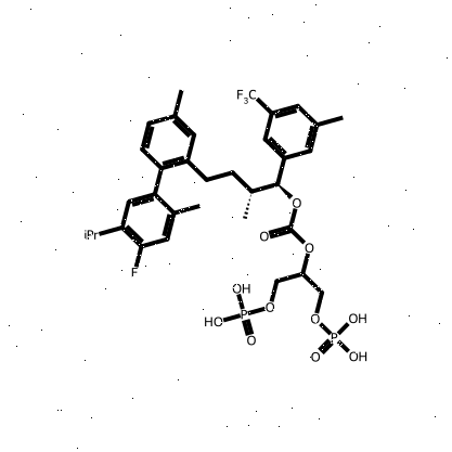 Cc1cc([C@@H](OC(=O)OC(COP(=O)(O)O)COP(=O)(O)O)[C@H](C)CCc2cc(C)ccc2-c2cc(C(C)C)c(F)cc2C)cc(C(F)(F)F)c1